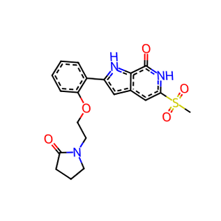 CS(=O)(=O)c1cc2cc(-c3ccccc3OCCN3CCCC3=O)[nH]c2c(=O)[nH]1